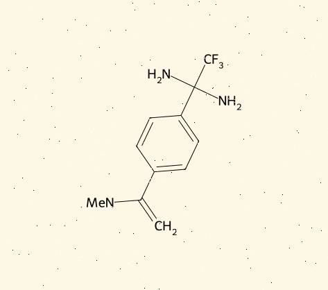 C=C(NC)c1ccc(C(N)(N)C(F)(F)F)cc1